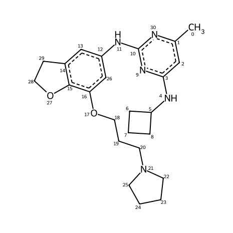 Cc1cc(NC2CCC2)nc(Nc2cc3c(c(OCCCN4CCCC4)c2)OCC3)n1